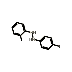 Ic1ccc(NNc2ccccc2I)cc1